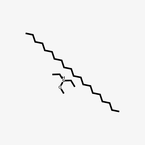 CCCCCCCCCCCCCCCCCCCC.CC[SiH](CC)OC